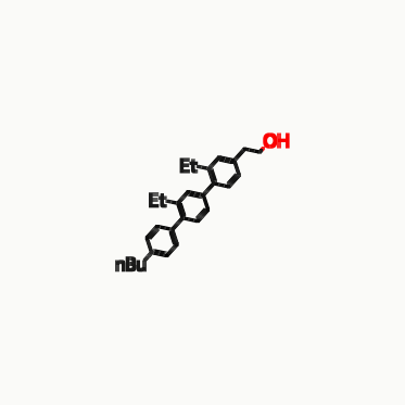 CCCCc1ccc(-c2ccc(-c3ccc(CCO)cc3CC)cc2CC)cc1